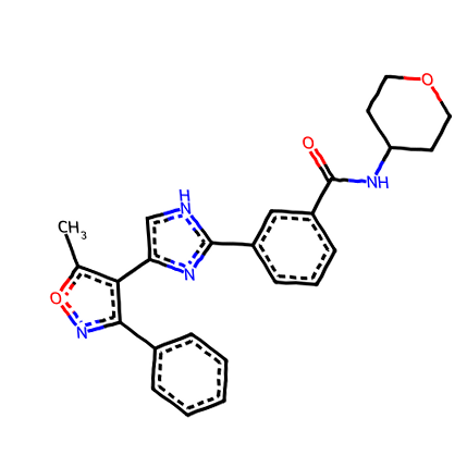 Cc1onc(-c2ccccc2)c1-c1c[nH]c(-c2cccc(C(=O)NC3CCOCC3)c2)n1